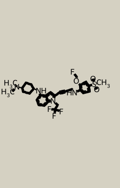 CN(C)[C@H]1CC[C@@H](Nc2cccc3c2cc(C#CCNc2ccc(S(C)(=O)=O)cc2OCF)n3CC(F)(F)F)CC1